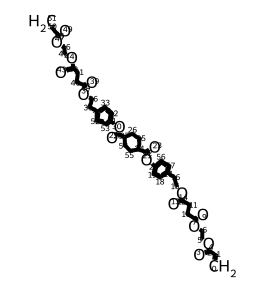 C=CC(=O)OCCOC(=O)CCC(=O)OCCc1ccc(OC(=O)C2CCC(C(=O)Oc3ccc(CCOC(=O)CCC(=O)OCCOC(=O)C=C)cc3)CC2)cc1